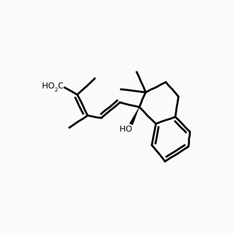 CC(C=C[C@@]1(O)c2ccccc2CCC1(C)C)=C(C)C(=O)O